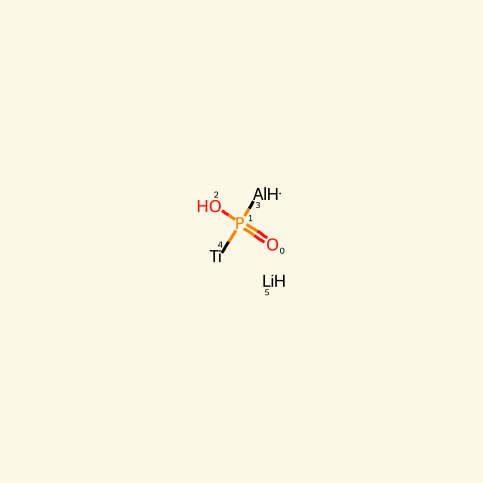 O=[P](O)([AlH])[Ti].[LiH]